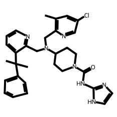 Cc1cc(Cl)cnc1CN(Cc1ncccc1C(C)(C)c1ccccc1)C1CCN(C(=O)Nc2ncc[nH]2)CC1